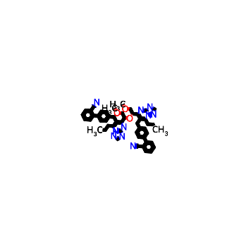 CCCc1c(Cc2ccc(-c3ccccc3C#N)cc2)c(C(COC)OC(COC)c2nc3ncnn3c(CCC)c2Cc2ccc(-c3ccccc3C#N)cc2)nc2ncnn12